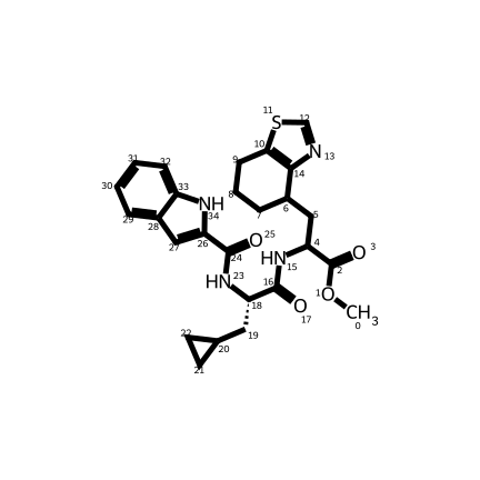 COC(=O)C(CC1CCCc2scnc21)NC(=O)[C@H](CC1CC1)NC(=O)c1cc2ccccc2[nH]1